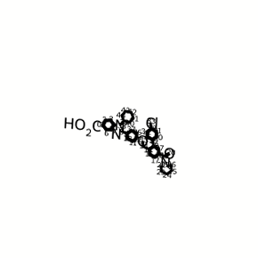 O=C(O)c1ccc2c(c1)nc(-c1ccc(OCc3ccc(C(=O)N4CCCCC4)cc3-c3ccc(Cl)cc3)cc1)n2C1CCCCC1